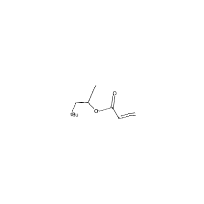 C=CC(=O)OC(C)CC(C)(C)C